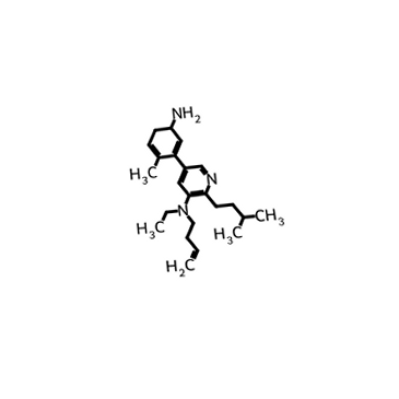 C=CCCN(CC)c1cc(C2=CC(N)CC=C2C)cnc1CCC(C)C